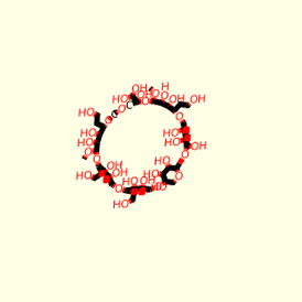 COC1OC2C(CO)OC(OC3C(CO)OC(OC4(O)COC(OC5(O)COC(OC(CCO)C(O)C(O)C(OC)OC(O)(C(O)O)COCOC(CCO)C(O)C1O)C(O)C5O)C(O)C4O)C(O)C3O)C(O)C2O